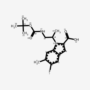 Cc1cc2c(cc1F)cc(C(=O)O)n2C(C)CNC(=O)OC(C)(C)C